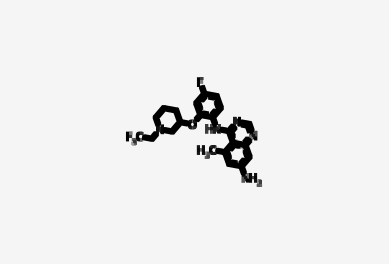 Cc1cc(N)cc2ncnc(Nc3ccc(F)cc3OC3CCCN(CC(F)(F)F)C3)c12